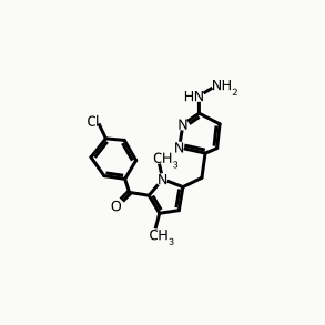 Cc1cc(Cc2ccc(NN)nn2)n(C)c1C(=O)c1ccc(Cl)cc1